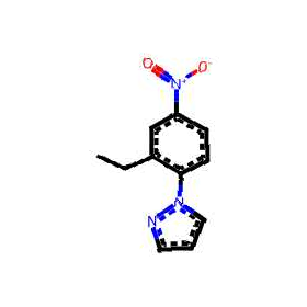 CCc1cc([N+](=O)[O-])ccc1-n1cccn1